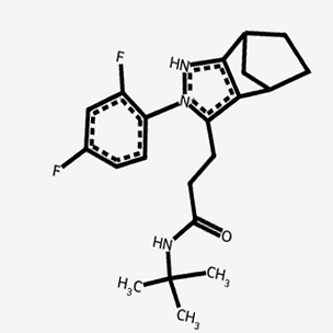 CC(C)(C)NC(=O)CCc1c2c([nH][n+]1-c1ccc(F)cc1F)C1CCC2C1